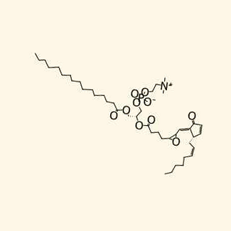 CCCCC/C=C\C[C@H]1C=CC(=O)/C1=C/C1OC1CCCC(=O)O[C@H](COC(=O)CCCCCCCCCCCCCCC)COP(=O)([O-])OCC[N+](C)(C)C